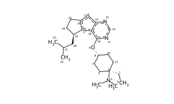 CC[C@]1(N(C)C)CC[C@H](Oc2ncnc3sc4c(c23)[C@@H](CC(C)C)CC4)CC1